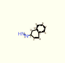 N=NC1C=Cc2ccccc2C1